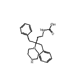 O=C(O)NCCC(Cc1ccccc1)(Cc1ccccc1)N1CCNCC1